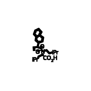 C=CC(c1ccc2ccccc2c1)S(=O)(=O)N(CCC(C)C)C(CC(C)C)C(=O)O